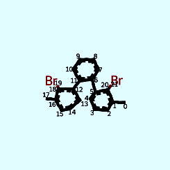 Cc1cccc(-c2ccccc2-c2cccc(C)c2Br)c1Br